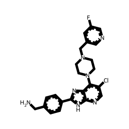 NCc1ccc(-c2nc3c(N4CCN(Cc5cncc(F)c5)CC4)c(Cl)cnc3[nH]2)cc1